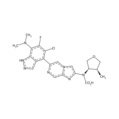 C[C@@H]1COC[C@@H]1N(C(=O)O)c1cn2cc(-c3c(Cl)c(F)c(N(C)C)c4[nH]ncc34)ncc2n1